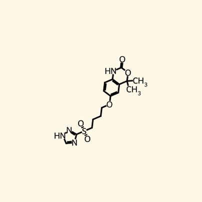 CC1(C)OC(=O)Nc2ccc(OCCCCS(=O)(=O)c3nc[nH]n3)cc21